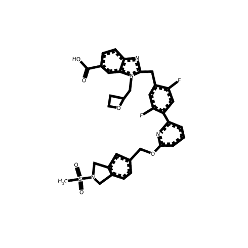 CS(=O)(=O)N1Cc2ccc(COc3cccc(-c4cc(F)c(Cc5nc6ccc(C(=O)O)cc6n5CC5CCO5)cc4F)n3)cc2C1